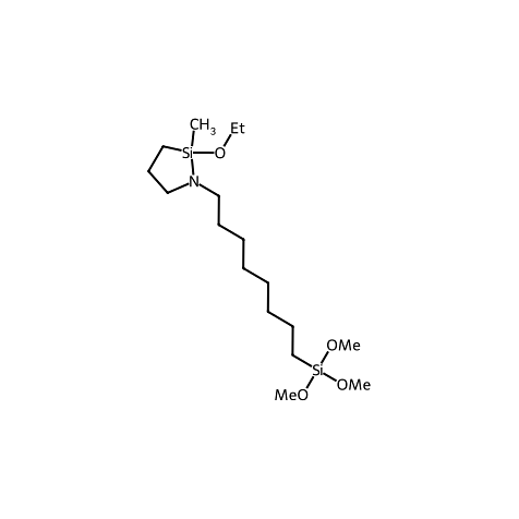 CCO[Si]1(C)CCCN1CCCCCCCC[Si](OC)(OC)OC